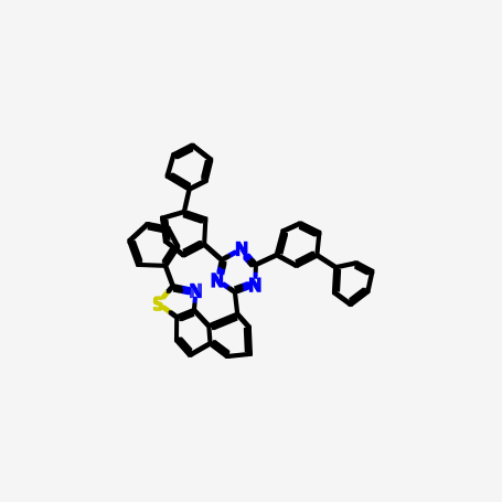 c1ccc(-c2cccc(-c3nc(-c4cccc(-c5ccccc5)c4)nc(-c4cccc5ccc6sc(-c7ccccc7)nc6c45)n3)c2)cc1